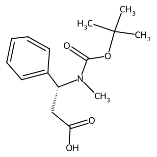 CN(C(=O)OC(C)(C)C)[C@H](CC(=O)O)c1ccccc1